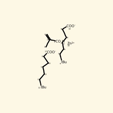 C=C(C)C(=O)O.CC(C)(C)CCCCCC(=O)[O-].CC(C)(C)CCCCCC(=O)[O-].[Zn+2]